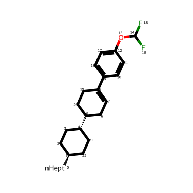 CCCCCCC[C@H]1CC[C@H](C2CC=C(c3ccc(OC(F)F)cc3)CC2)CC1